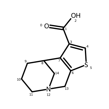 O=C(O)c1csc2c1C1CCCN(C2)C1